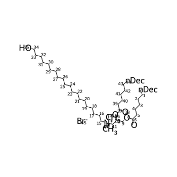 CCCCCCCCCCCCCCCC(=O)OCC(C[N+](C)(C)CCCCCCCCCCCCCCCCCCCCO)OC(=O)CCCCCCCCCCCCCCC.[Br-]